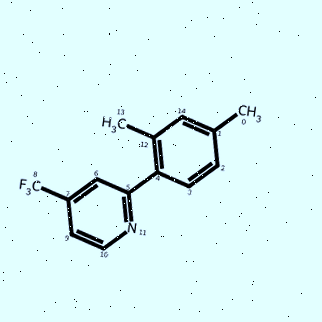 Cc1ccc(-c2cc(C(F)(F)F)ccn2)c(C)c1